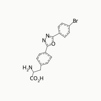 NC(Cc1ccc(-c2nnc(-c3ccc(Br)cc3)o2)cc1)C(=O)O